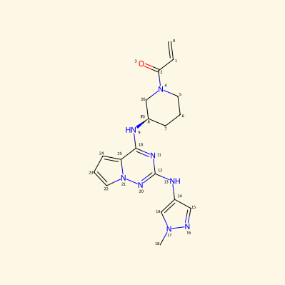 C=CC(=O)N1CCC[C@@H](Nc2nc(Nc3cnn(C)c3)nn3cccc23)C1